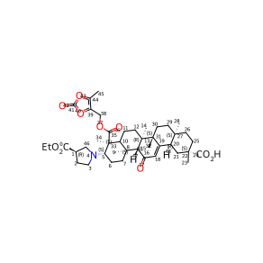 CCOC(=O)[C@@H]1CCN([C@H]2CC[C@@]3(C)C(CC[C@]4(C)[C@@H]3C(=O)C=C3[C@@H]5C[C@@](C)(C(=O)O)CC[C@]5(C)CC[C@]34C)[C@]2(C)C(=O)OCc2oc(=O)oc2C)C1